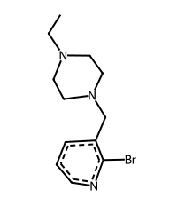 CCN1CCN(Cc2cccnc2Br)CC1